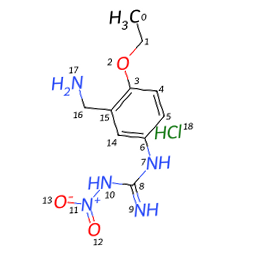 CCOc1ccc(NC(=N)N[N+](=O)[O-])cc1CN.Cl